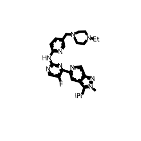 CCN1CCN(Cc2ccc(Nc3ncc(F)c(-c4cc5c(C(C)C)n(C)nc5cn4)n3)nc2)CC1